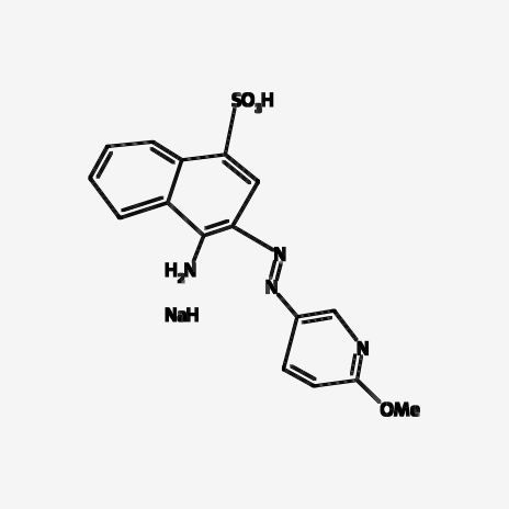 COc1ccc(N=Nc2cc(S(=O)(=O)O)c3ccccc3c2N)cn1.[NaH]